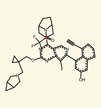 C#Cc1cccc2cc(O)cc(-c3ncc4c(N5CC6CCC(C5)N6C(=O)C(F)(F)F)nc(OCC5(CN6CC7CC7C6)CC5)nc4c3F)c12